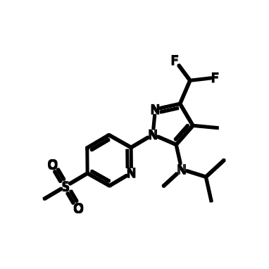 Cc1c(C(F)F)nn(-c2ccc(S(C)(=O)=O)cn2)c1N(C)C(C)C